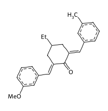 CCC1C/C(=C\c2cccc(C)c2)C(=O)/C(=C/c2cccc(OC)c2)C1